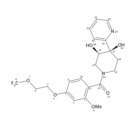 COc1cc(OCCOC(F)(F)F)ccc1C(=O)N1CC[C@@](O)(c2ccccn2)[C@H](O)C1